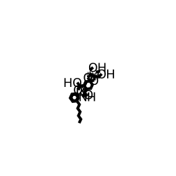 CCCCCCc1ccccc1NS(=O)(=O)C1CCC2(C=C1C(=O)O)O[C@H](CO)[C@@](CC)(CO)O2